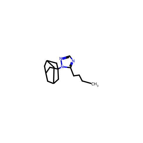 CCCCc1ncnn1C12CC3CC(CC(C3)C1)C2